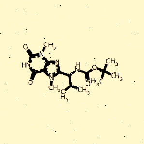 CC(C)C(NC(=O)OC(C)(C)C)c1nc2c(c(=O)[nH]c(=O)n2C)n1C